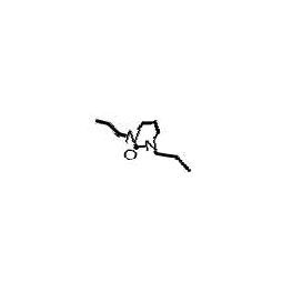 CCCN1CCCN(CCC)C1=O